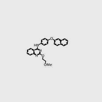 COCCOc1nc(Nc2ccc(Oc3ccc4ccccc4c3)cc2)c2ccccc2n1